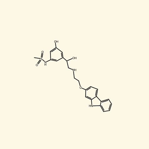 CS(=O)(=O)Nc1cc(O)cc(C(O)CNCCOc2ccc3c(c2)[nH]c2ccccc23)c1